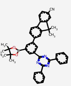 CC1(C)c2cc(C#N)ccc2-c2ccc(-c3cc(B4OC(C)(C)C(C)(C)O4)cc(-c4nc(-c5ccccc5)nc(-c5ccccc5)n4)c3)cc21